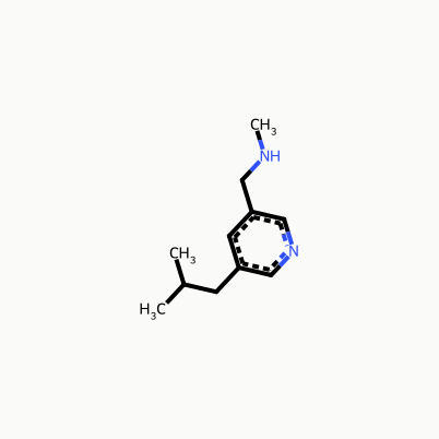 CNCc1cncc(CC(C)C)c1